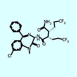 CN1C(=O)[C@@H](NC(=O)[C@@H](CCC(F)(F)F)[C@@H](CCC(F)(F)F)C(N)=O)N=C(c2ccccc2)c2ccc(Cl)cc21